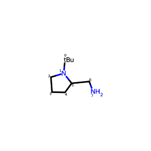 CC(C)(C)N1CCCC1CN